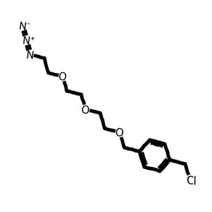 [N-]=[N+]=NCCOCCOCCOCc1ccc(CCl)cc1